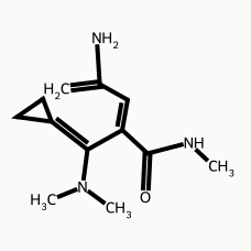 C=C(N)/C=C(/C(=O)NC)C(=C1CC1)N(C)C